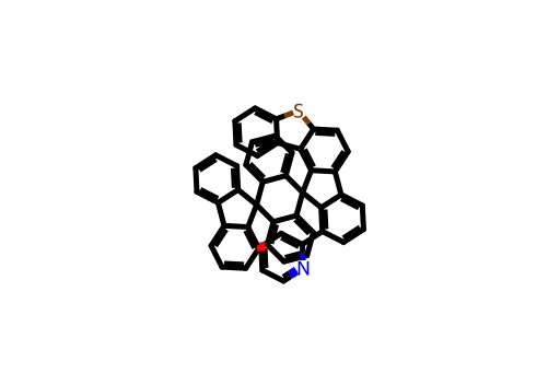 c1ccc(-c2cccc3c2C2(c4ccccc4C4(c5ccccc5-c5ccccc54)c4ccccc42)c2c-3ccc3sc4ccccc4c23)nc1